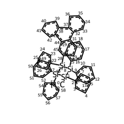 C[Si]1(c2ccccc2)[Si](c2ccccc2)(c2ccccc2)[Si](c2ccccc2)(c2ccc3c4ccccc4c4ccccc4c3c2)[Si]1(c1ccccc1)c1ccccc1